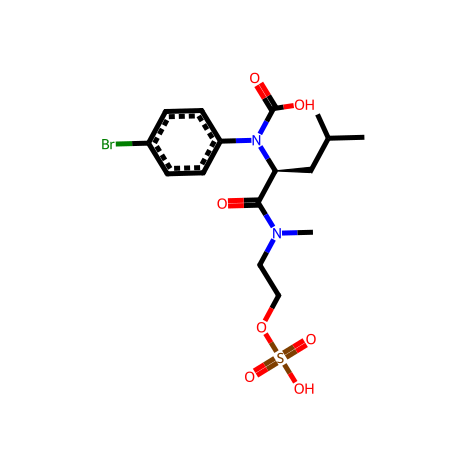 CC(C)C[C@@H](C(=O)N(C)CCOS(=O)(=O)O)N(C(=O)O)c1ccc(Br)cc1